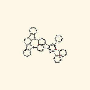 c1ccc(-c2ccc(-c3ccc(-n4c5ccccc5c5ccc6c7ccccc7n(-c7ccc(-c8cc(-c9ccccc9)cc(-c9ccccc9)n8)cc7)c6c54)cc3)cc2)cc1